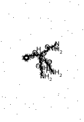 NCCCNC(=O)CCOCC(COCCC(=O)NCCCN)(COCCC(=O)NCCCN)NCC(=O)OCc1ccccc1